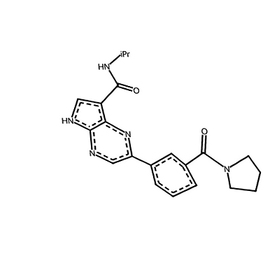 CC(C)NC(=O)c1c[nH]c2ncc(-c3cccc(C(=O)N4CCCC4)c3)nc12